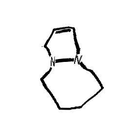 [CH]1C=CN2CCCCCN12